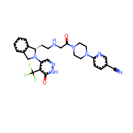 N#Cc1ccc(N2CCN(C(=O)CNCC[C@H]3c4ccccc4CN3c3cn[nH]c(=O)c3C(F)(F)F)CC2)nc1